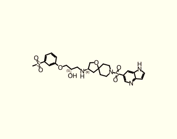 CS(=O)(=O)c1cccc(OC[C@@H](O)CN[C@H]2COC3(CCN(S(=O)(=O)c4cnc5cc[nH]c5c4)CC3)C2)c1